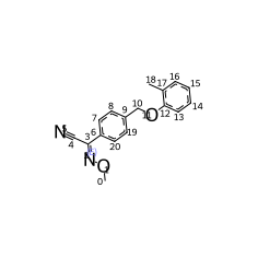 CO/N=C(/C#N)c1ccc(COc2ccccc2C)cc1